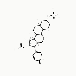 CC(=O)O[C@H]1[C@H]2O[C@]23[C@@H]2CC[C@@H]4C[C@@H](NS(C)(=O)=O)CC[C@]4(C)[C@H]2CC[C@]3(C)[C@H]1c1ccc(=O)oc1